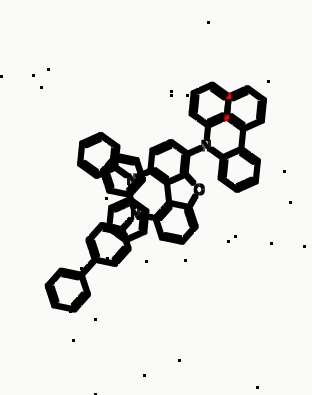 c1ccc(-c2ccc(N(c3ccccc3)c3cccc4oc5c(N(c6ccccc6)c6ccccc6-c6ccccc6)ccc(N(c6ccccc6)c6ccccc6)c5c34)cc2)cc1